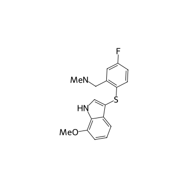 CNCc1cc(F)ccc1Sc1c[nH]c2c(OC)cccc12